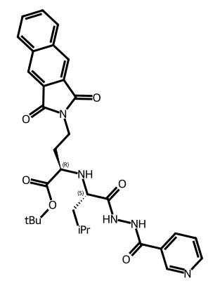 CC(C)C[C@H](N[C@H](CCN1C(=O)c2cc3ccccc3cc2C1=O)C(=O)OC(C)(C)C)C(=O)NNC(=O)c1cccnc1